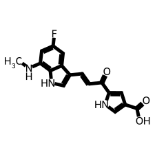 CNc1cc(F)cc2c(/C=C/C(=O)c3cc(C(=O)O)c[nH]3)c[nH]c12